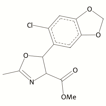 COC(=O)C1N=C(C)OC1c1cc2c(cc1Cl)OCO2